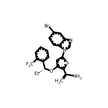 C=C(N)c1sc(-n2cnc3cc(Br)ccc32)cc1O[C@H](CC)c1ccccc1C(F)(F)F